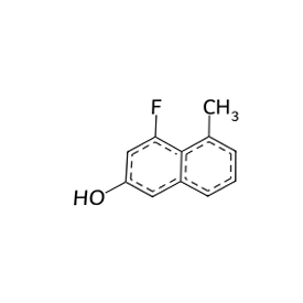 Cc1cccc2cc(O)cc(F)c12